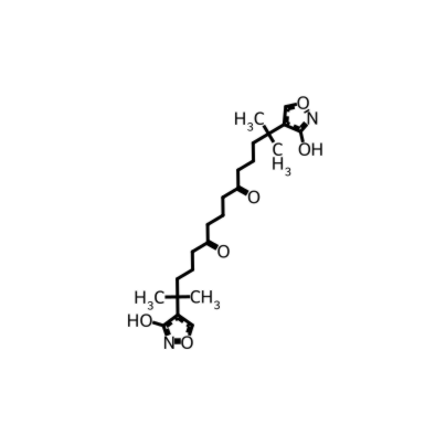 CC(C)(CCCC(=O)CCCC(=O)CCCC(C)(C)c1conc1O)c1conc1O